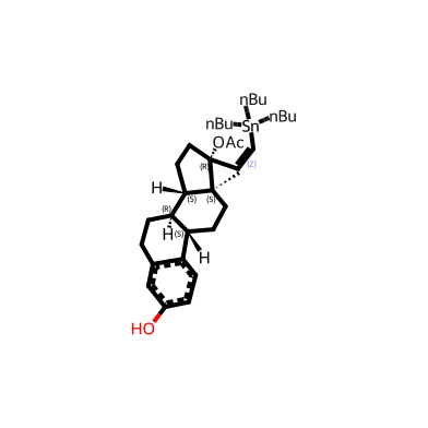 CCC[CH2][Sn](/[CH]=C\[C@]1(OC(C)=O)CC[C@H]2[C@@H]3CCc4cc(O)ccc4[C@H]3CC[C@@]21C)([CH2]CCC)[CH2]CCC